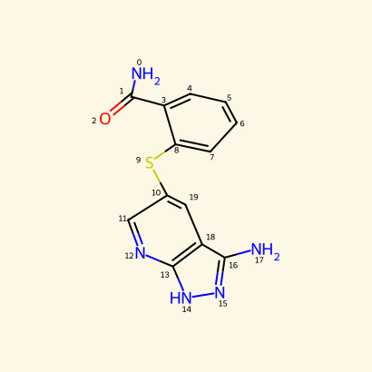 NC(=O)c1ccccc1Sc1cnc2[nH]nc(N)c2c1